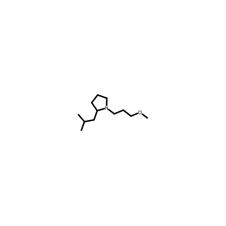 COCCCN1CCCC1CC(C)C